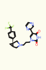 O=c1[nH]c(=O)n(CCCN2CC3C[C@]3(c3ccc(C(F)(F)F)cc3)C2)cc1-c1cnccn1